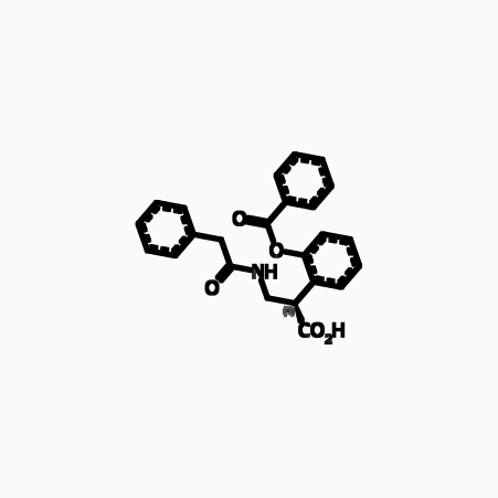 O=C(Cc1ccccc1)NC[C@H](C(=O)O)c1ccccc1OC(=O)c1ccccc1